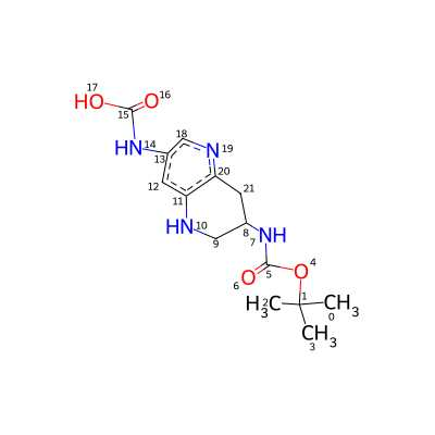 CC(C)(C)OC(=O)NC1CNc2cc(NC(=O)O)cnc2C1